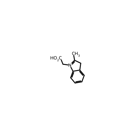 CC1=[N+](CC(=O)O)c2ccccc2C1